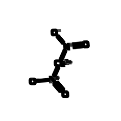 O=[N+]([O-])[Ce+2][N+](=O)[O-]